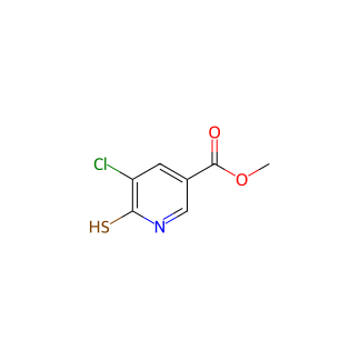 COC(=O)c1cnc(S)c(Cl)c1